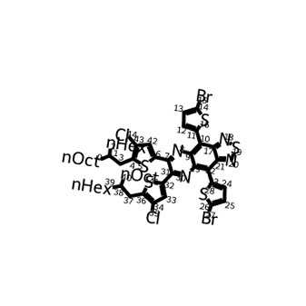 CCCCCCCCC(CCCCCC)Cc1sc(-c2nc3c(-c4ccc(Br)s4)c4nsnc4c(-c4ccc(Br)s4)c3nc2-c2cc(Cl)c(CC(CCCCCC)CCCCCCCC)s2)cc1Cl